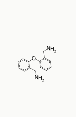 NCc1ccccc1Oc1ccccc1CN